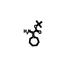 CC(C)(C)OC(=O)N(N)N1CCCCCC1